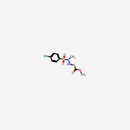 COC(=O)SNN(C)S(=O)(=O)c1ccc(Br)cc1